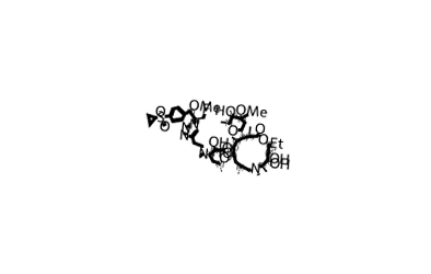 CC[C@H]1OC(=O)[C@H](C)[C@@H](C2C[C@@](C)(OC)[C@@H](O)[C@H](C)O2)[C@H](C)[C@@H](O[C@@H]2O[C@H](C)C[C@H](N(C)CCc3cn([C@H](CF)[C@H](OC)c4ccc(S(=O)(=O)C5CC5)cc4)nn3)[C@H]2O)[C@](C)(O)C[C@@H](C)CN(C)[C@H](C)[C@@H](O)[C@]1(C)O